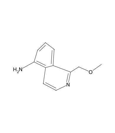 COCc1nccc2c(N)cccc12